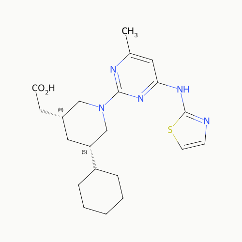 Cc1cc(Nc2nccs2)nc(N2C[C@@H](CC(=O)O)C[C@@H](C3CCCCC3)C2)n1